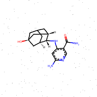 NC(=O)c1cnc(N)cc1N[C@@H]1[C@@H]2CC3C[C@H]1C[C@@](O)(C3)C2